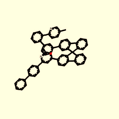 Cc1ccc(-c2ccccc2-c2cccc(-c3ccc4c(c3)C3(c5ccccc5-4)c4ccccc4-c4ccc(-c5cc(-c6ccc(-c7ccccc7)cc6)nc(C)n5)cc43)c2)nc1